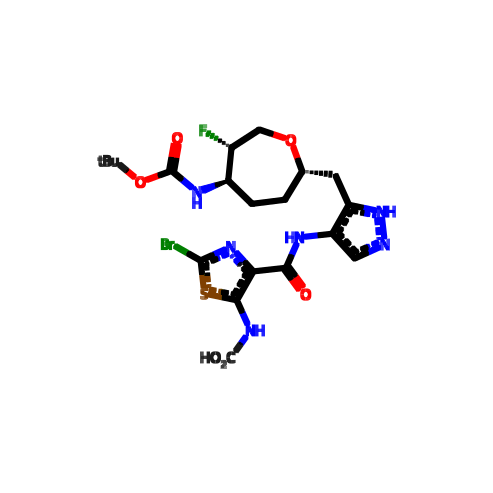 CC(C)(C)OC(=O)N[C@@H]1CC[C@@H](Cc2[nH]ncc2NC(=O)c2nc(Br)sc2NC(=O)O)OC[C@H]1F